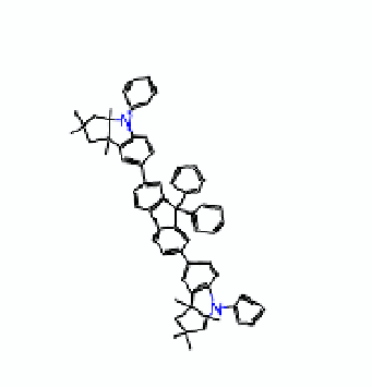 CC1(C)CC2(C)c3cc(-c4ccc5c(c4)C(c4ccccc4)(c4ccccc4)c4cc(-c6ccc7c(c6)C6(C)CC(C)(C)CC6(C)N7c6ccccc6)ccc4-5)ccc3N(c3ccccc3)C2(C)C1